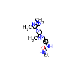 CCNCC(=O)NC12CCC(Cn3nc(C)c4c3CCN(c3cc(C)nc5c3cnn5C)C4)(CC1)CC2